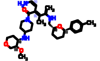 C=C(NC[C@H]1CCC[C@@H](c2ccc(C)cc2)O1)/C(C)=C(\C=C/N)C(=O)N1CCC(N[C@H]2CCOC[C@H]2OC)CC1